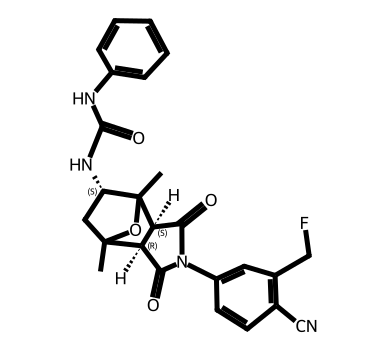 CC12C[C@H](NC(=O)Nc3ccccc3)C(C)(O1)[C@H]1C(=O)N(c3ccc(C#N)c(CF)c3)C(=O)[C@H]12